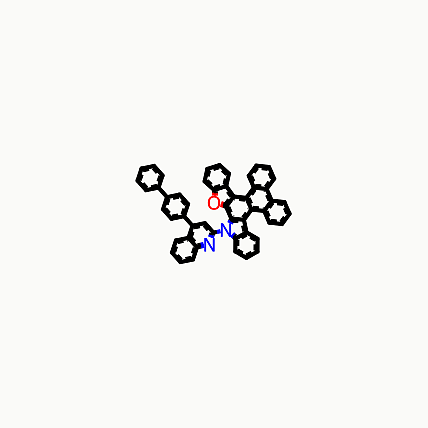 c1ccc(-c2ccc(-c3cc(-n4c5ccccc5c5c6c7ccccc7c7ccccc7c6c6c7ccccc7oc6c54)nc4ccccc34)cc2)cc1